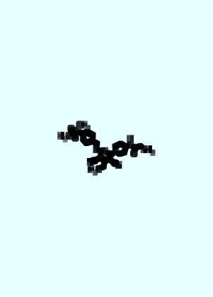 CCc1c(C#N)c(SCc2ccc(N(C)S(C)(=O)=O)cc2)nc(N2CCC(NC(=O)CN)CC2)c1C#N